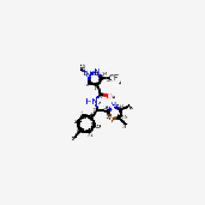 Cc1ccc(C(NC(=O)c2cn(C)nc2C(F)(F)F)c2nc(C)c(C)s2)cc1